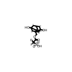 O=C(OCC12CC3CC(O)(CC(O)(C3)C1)C2)C(F)(F)S(=O)(=O)O